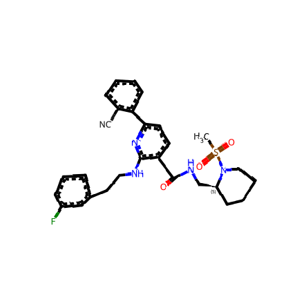 CS(=O)(=O)N1CCCC[C@H]1CNC(=O)c1ccc(-c2ccccc2C#N)nc1NCCc1cccc(F)c1